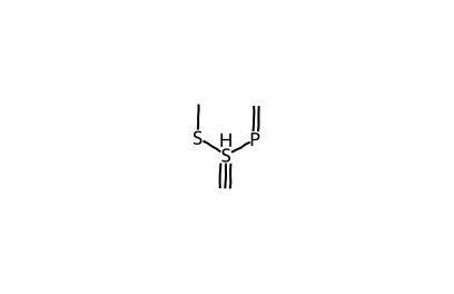 C#[SH](P=C)SC